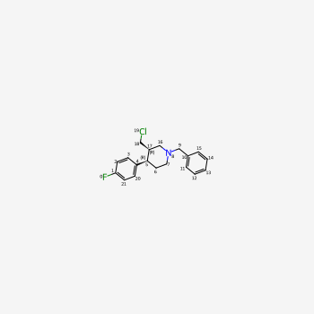 Fc1ccc([C@@H]2CCN(Cc3ccccc3)C[C@@H]2CCl)cc1